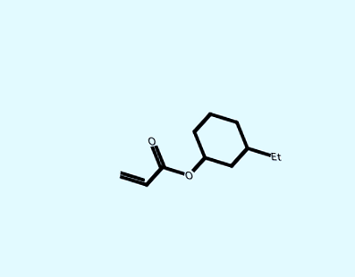 C=CC(=O)OC1CCCC(CC)C1